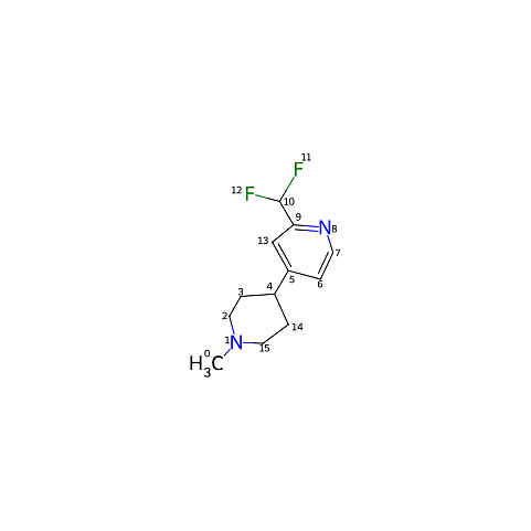 CN1CCC(c2ccnc(C(F)F)c2)CC1